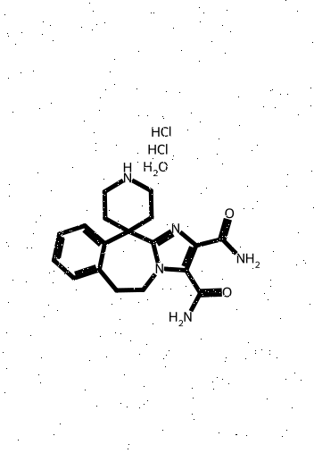 Cl.Cl.NC(=O)c1nc2n(c1C(N)=O)CCc1ccccc1C21CCNCC1.O